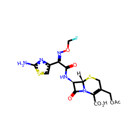 CC(=O)OCC1=C(C(=O)O)N2C(=O)[C@@H](NC(=O)/C(=N\OCF)c3csc(N)n3)[C@@H]2SC1